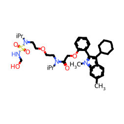 Cc1ccc2c(C3CCCCC3)c(-c3ccccc3OCC(=O)N(CCOCCN(C(C)C)S(=O)(=O)NCO)C(C)C)n(C)c2c1